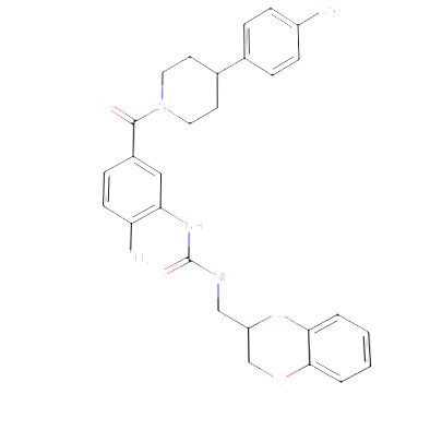 Cc1ccc(C(=O)N2CCC(c3ccc(C#N)cc3)CC2)cc1NC(=O)NCC1COc2ccccc2O1